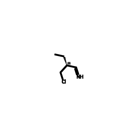 CC[C@H](C=N)CCl